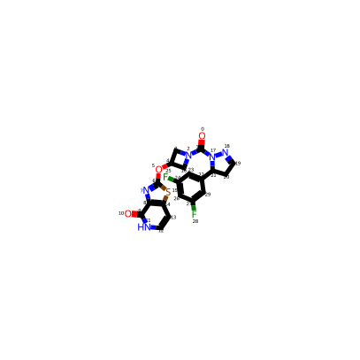 O=C(N1CC(Oc2nc3c(=O)[nH]ccc3s2)C1)N1N=CCC1c1cc(F)cc(F)c1